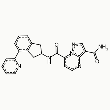 NC(=O)c1cnn2c(C(=O)NC3Cc4cccc(-c5ccccn5)c4C3)ccnc12